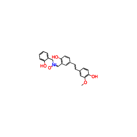 COc1cc(/C=C/c2ccc(O)c(/C=[N+](/[O-])Cc3ccccc3O)c2)ccc1O